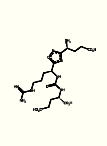 N=C(N)NCCC[C@H](NC(=O)N[C@@H](CCC(=O)O)C(=O)O)c1nc([C@@H](N)CCC(=O)O)no1